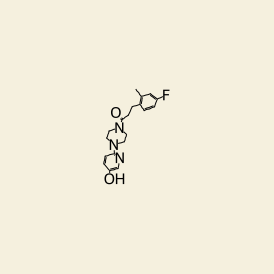 Cc1cc(F)ccc1CCC(=O)N1CCN(c2ccc(O)cn2)CC1